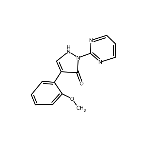 COc1ccccc1-c1c[nH]n(-c2ncccn2)c1=O